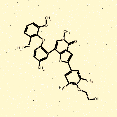 COc1cccc(OC)c1Oc1ccc(N)cc1-c1cn(C)c(=O)c2cc(-c3cc(C)c(OCCO)c(C)c3)oc12